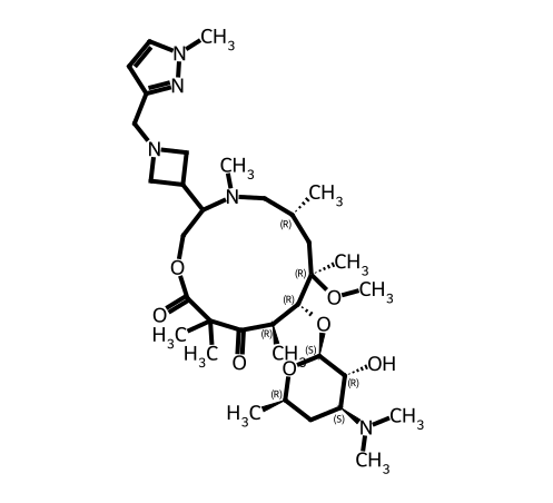 CO[C@]1(C)C[C@@H](C)CN(C)C(C2CN(Cc3ccn(C)n3)C2)COC(=O)C(C)(C)C(=O)[C@H](C)[C@H]1O[C@@H]1O[C@H](C)C[C@H](N(C)C)[C@H]1O